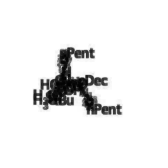 CCCCCCCCCCC[C@@H](CC(=O)N[C@@H]1[C@@H](OC(=O)CCCCc2ccc(CCCCC)cc2)[C@H](O)[C@@H](CO[Si](C)(C)C(C)(C)C)O[C@H]1O)OC(=O)CCCCc1ccc(CCCCC)cc1